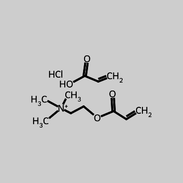 C=CC(=O)O.C=CC(=O)OCC[N+](C)(C)C.Cl